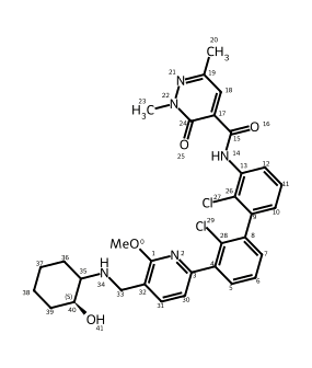 COc1nc(-c2cccc(-c3cccc(NC(=O)c4cc(C)nn(C)c4=O)c3Cl)c2Cl)ccc1CNC1CCCC[C@@H]1O